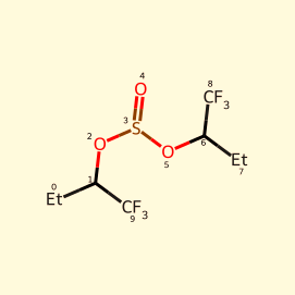 CCC(OS(=O)OC(CC)C(F)(F)F)C(F)(F)F